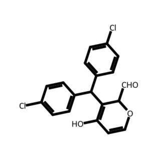 O=CC1OC=CC(O)=C1C(c1ccc(Cl)cc1)c1ccc(Cl)cc1